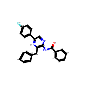 O=C(Nc1ncc(-c2ccc(F)cc2)nc1Cc1ccccc1)c1ccccc1